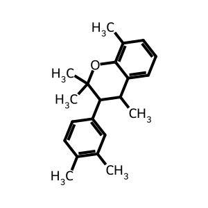 Cc1ccc(C2C(C)c3cccc(C)c3OC2(C)C)cc1C